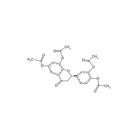 CC(=O)Oc1cc(OC(C)=O)c2c(c1)C(=O)C[C@H](c1ccc(OC(C)=O)c(OC(C)=O)c1)O2